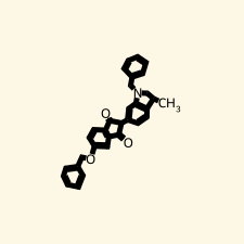 CC1CN(Cc2ccccc2)c2cc(C3C(=O)c4ccc(OCc5ccccc5)cc4C3=O)ccc21